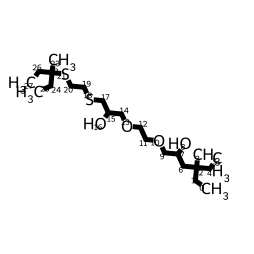 CCC(C)(CC)CC(O)COCCOCC(O)CSCCSC(C)(CC)CC